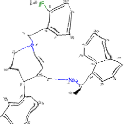 C[C@@H](NCC1CN(Cc2ccccc2F)CCC1c1ccccc1)c1cccc2ccccc12